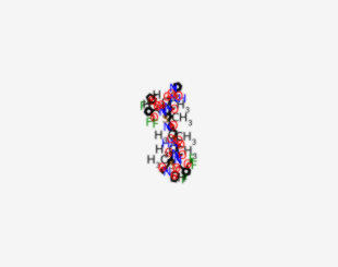 Cc1c(-c2ncco2)sc2c1c(=O)n(C(C)(C)C(=O)NS(=O)(=O)C(C)(C)Cc1cnc(-c3sc4c(c3C)c(=O)n(C(C)(C)C(=O)NS(=O)(=O)c3ccccn3)c(=O)n4C[C@H](O[C@@H]3C[C@H]4CC[C@@H](C3)O4)c3cc(F)ccc3OC(F)F)o1)c(=O)n2C[C@H](O[C@@H]1CC2CC[C@@H](C1)O2)c1cc(F)ccc1OC(F)F